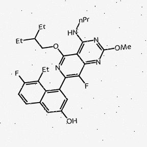 CCCNc1nc(OC)nc2c(F)c(-c3cc(O)cc4ccc(F)c(CC)c34)nc(OCC(CC)CC)c12